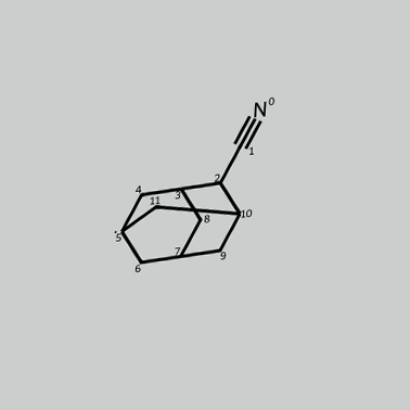 N#CC1C2C[C]3CC(C2)CC1C3